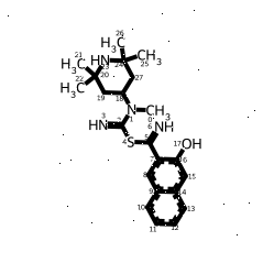 CN(C(=N)SC(=N)c1cc2ccccc2cc1O)C1CC(C)(C)NC(C)(C)C1